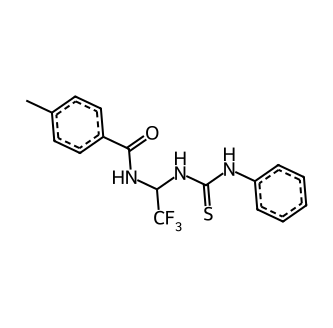 Cc1ccc(C(=O)NC(NC(=S)Nc2ccccc2)C(F)(F)F)cc1